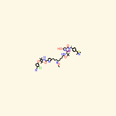 CCO/N=C(\CCCCC(=O)N[C@H](C(=O)N1C[C@H](O)C[C@H]1C(=O)N[C@@H](C)c1ccc(-c2scnc2C)cc1)C(C)(C)C)CCCc1ccc(C(=O)N[C@H]2C(C)(C)[C@H](Oc3ccc(C#N)c(Cl)c3)C2(C)C)nc1